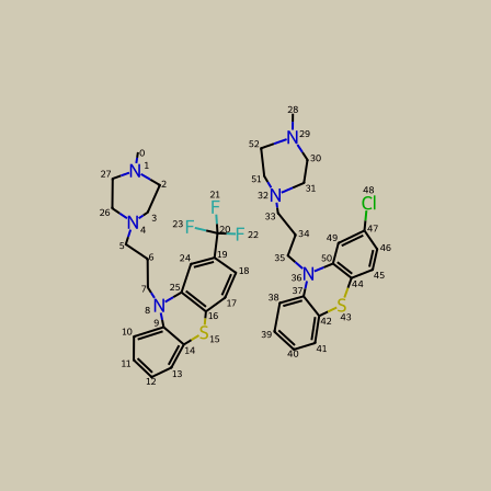 CN1CCN(CCCN2c3ccccc3Sc3ccc(C(F)(F)F)cc32)CC1.CN1CCN(CCCN2c3ccccc3Sc3ccc(Cl)cc32)CC1